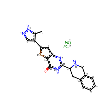 Cc1[nH]ncc1-c1cc2nc(C3Cc4ccccc4CN3)[nH]c(=O)c2s1.Cl.Cl